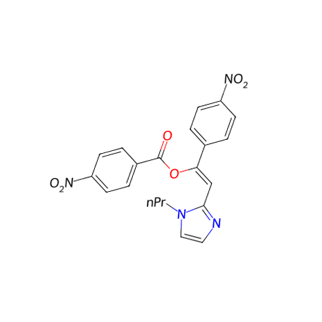 CCCn1ccnc1/C=C(\OC(=O)c1ccc([N+](=O)[O-])cc1)c1ccc([N+](=O)[O-])cc1